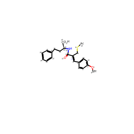 CCCOc1ccc(/C=C(\CSC(C)=O)C(=O)N[C@@H](CCc2ccccc2)C(=O)O)cc1